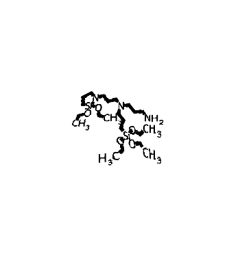 CCO[Si](CCCN(CCCN)CCCN1CCC[Si]1(OCC)OCC)(OCC)OCC